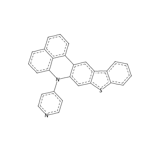 c1cc2c3c(cccc3c1)N(c1ccncc1)c1cc3sc4ccccc4c3cc1-2